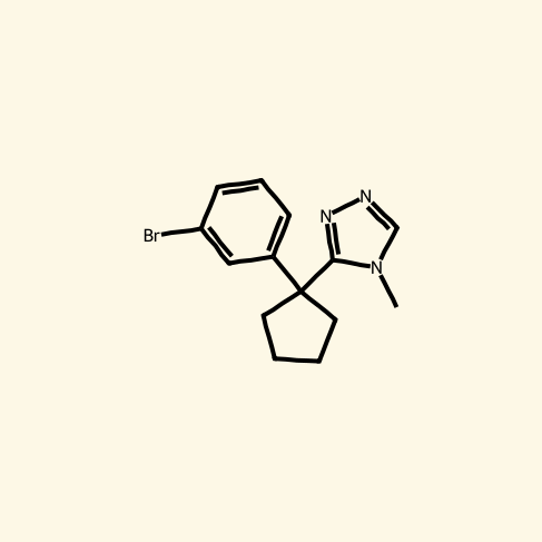 Cn1cnnc1C1(c2cccc(Br)c2)CCCC1